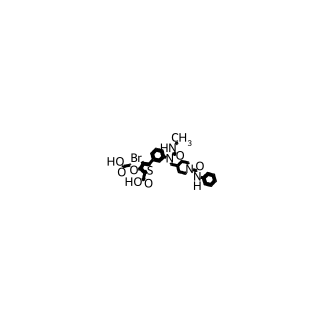 CCNC(=O)N(CC1CCN(C(=O)Nc2ccccc2)CC1)c1cccc(-c2sc(C(=O)O)c(OCC(=O)O)c2Br)c1